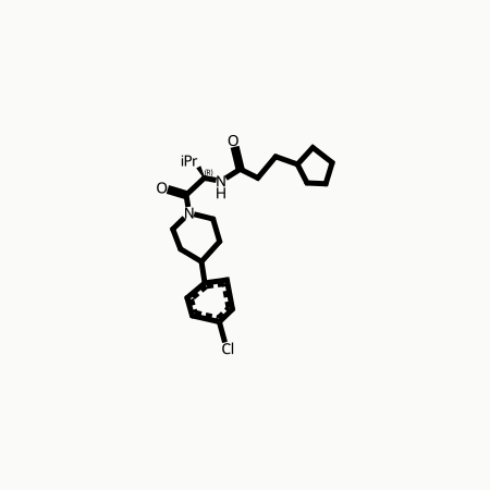 CC(C)[C@@H](NC(=O)CCC1CCCC1)C(=O)N1CCC(c2ccc(Cl)cc2)CC1